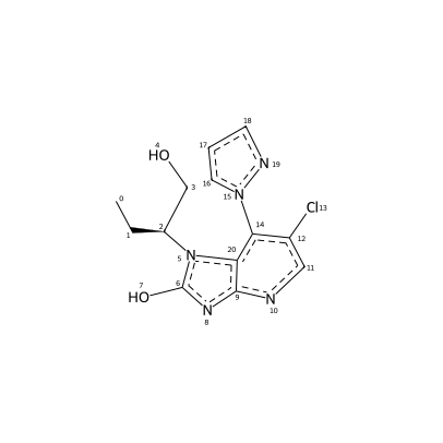 CC[C@@H](CO)n1c(O)nc2ncc(Cl)c(-n3cccn3)c21